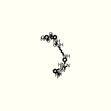 N#Cc1cnc(NCc2ccccc2OC(F)(F)F)nc1NCC1CCC(NCCCCCCCNC(=O)CNc2cccc3c2CN(C2CCC(=O)NC2=O)C3=O)CC1